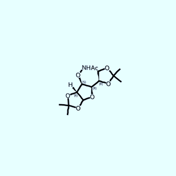 CC(=O)NO[C@H]1[C@@H]([C@H]2COC(C)(C)O2)OC2OC(C)(C)O[C@@H]21